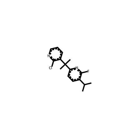 CC(C)c1ccc(C(C)(C)c2cccnc2Cl)nc1F